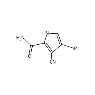 CC(C)c1c[nH]c(C(N)=O)c1C#N